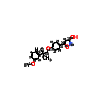 CC(C)Oc1cccc(C(C)(C)COc2ccc(-c3cc(O)no3)cc2)c1